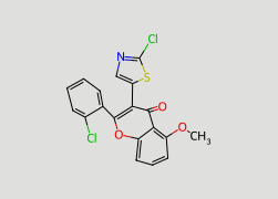 COc1cccc2oc(-c3ccccc3Cl)c(-c3cnc(Cl)s3)c(=O)c12